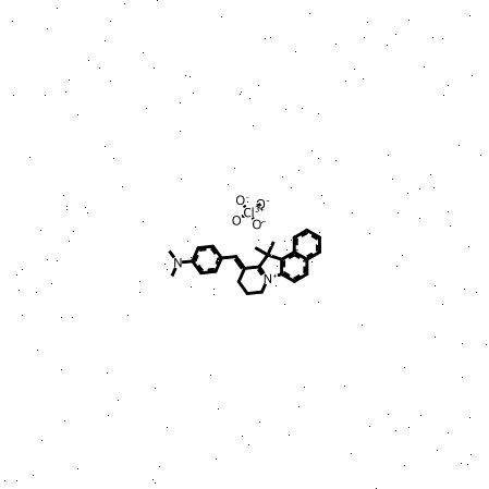 CN(C)c1ccc(C=C2CCC[N+]3=C2C(C)(C)c2c3ccc3ccccc23)cc1.[O-][Cl+3]([O-])([O-])[O-]